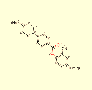 CCCCCCCc1ccc(OC(=O)c2ccc(C3CCC(CCCCCC)CC3)cc2)c(C#N)c1